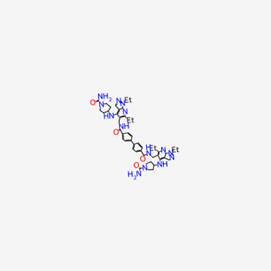 CCc1nc2c(cnn2CC)c(NC2CCN(C(N)=O)CC2)c1CNC(=O)c1ccc(-c2ccc(C(=O)NCc3c(CC)nc4c(cnn4CC)c3NC3CCN(C(N)=O)CC3)cc2)cc1